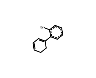 Brc1ccccc1C1=CC=CCC1